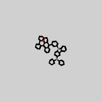 C1=CC(N(c2ccccc2)c2ccc3c(c2)c2ccccc2n3-c2cccc(-c3c4ccccc4c(-c4ccccc4-c4ccccc4)c4ccccc34)c2)=CCC1